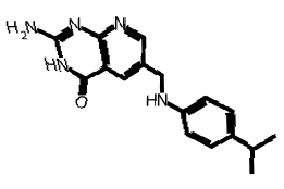 CC(C)c1ccc(NCc2cnc3nc(N)[nH]c(=O)c3c2)cc1